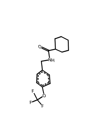 O=C(NCc1ccc(OC(F)(F)F)cc1)C1CCCCC1